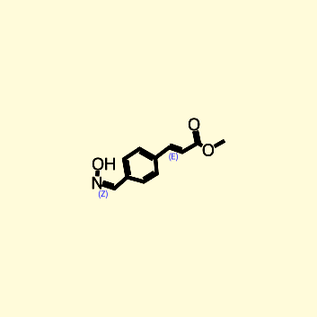 COC(=O)/C=C/c1ccc(/C=N\O)cc1